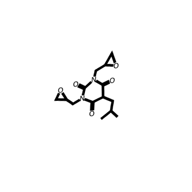 CC(C)CC1C(=O)N(CC2CO2)C(=O)N(CC2CO2)C1=O